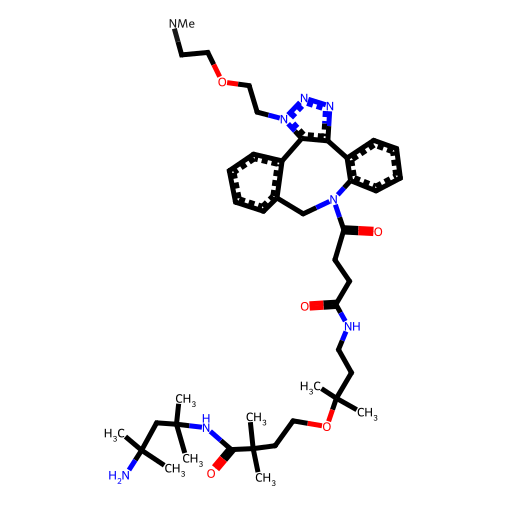 CNCCOCCn1nnc2c1-c1ccccc1CN(C(=O)CCC(=O)NCCC(C)(C)OCCC(C)(C)C(=O)NC(C)(C)CC(C)(C)N)c1ccccc1-2